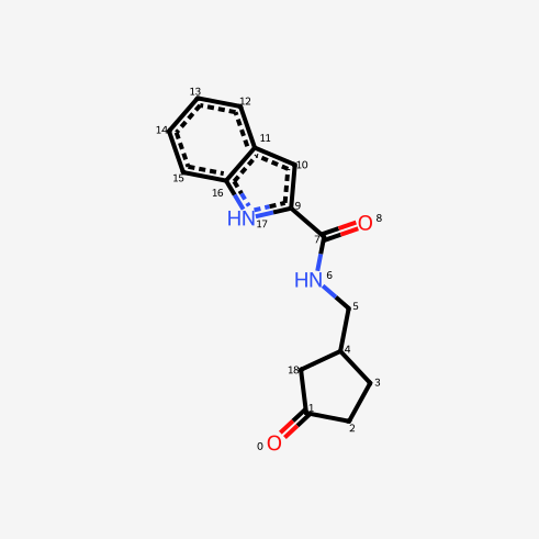 O=C1CCC(CNC(=O)c2cc3ccccc3[nH]2)C1